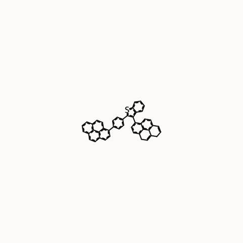 C1=Cc2ccc3c(-c4c(-c5ccc(-c6ccc7ccc8cccc9ccc6c7c89)cc5)sc5ccccc45)ccc4c3c2C(=CC4)C1